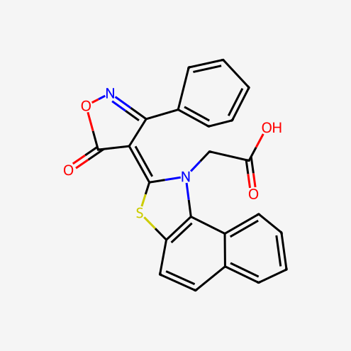 O=C(O)CN1/C(=C2/C(=O)ON=C2c2ccccc2)Sc2ccc3ccccc3c21